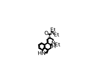 CCN(CC)C(=O)[C@@H]1C=C2c3cccc4[nH]cc(c34)C[C@H]2N(CC)C1